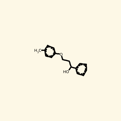 Cc1ccc(OCCC(O)c2ccccc2)cc1